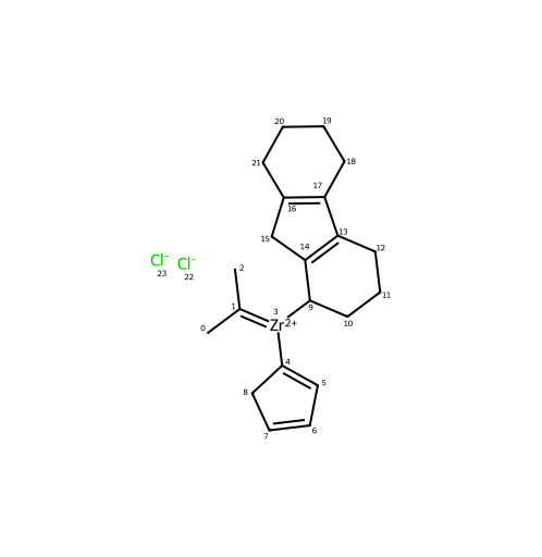 C[C](C)=[Zr+2]([C]1=CC=CC1)[CH]1CCCC2=C1CC1=C2CCCC1.[Cl-].[Cl-]